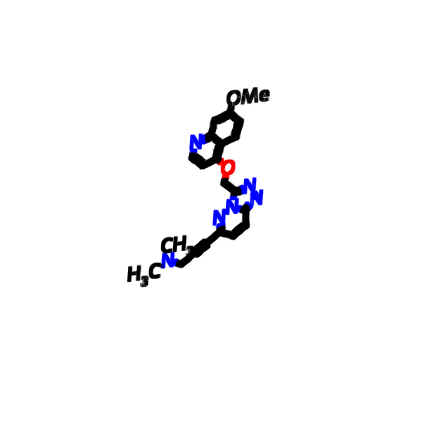 COc1ccc2c(OCc3nnc4ccc(C#CCN(C)C)nn34)ccnc2c1